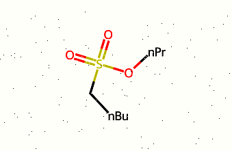 CCCCCS(=O)(=O)OCCC